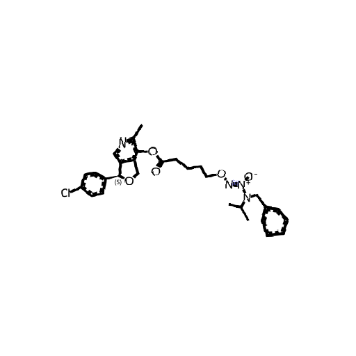 Cc1ncc2c(c1OC(=O)CCCCO/N=[N+](\[O-])N(Cc1ccccc1)C(C)C)CO[C@H]2c1ccc(Cl)cc1